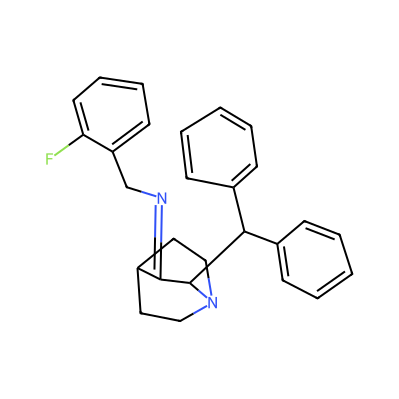 Fc1ccccc1CN=C1C2CCN(CC2)C1C(c1ccccc1)c1ccccc1